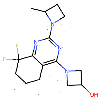 CC1CCN1c1nc(N2CC(O)C2)c2c(n1)C(F)(F)CCC2